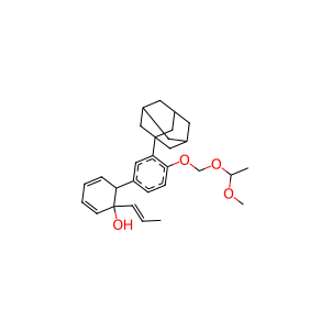 CC=CC1(O)C=CC=CC1c1ccc(OCOC(C)OC)c(C23CC4CC(CC(C4)C2)C3)c1